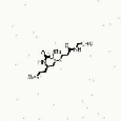 CSCCC(CSSCCC(=O)NCC=O)NC(=O)OC(C)(C)C